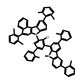 Cc1ccccc1-c1cc(-c2cc(-c3ccccc3C)cc3c4cc(-c5ccccc5C)ccc4n(C)c23)c(Cl)c(-n2c3ccc(-c4c(C)cccc4C)cc3c3c4ccccc4c(-c4c(C)cccc4C)cc32)c1